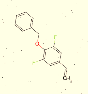 C=Cc1cc(F)c(OCc2ccccc2)c(F)c1